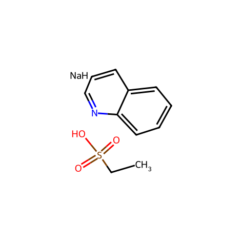 CCS(=O)(=O)O.[NaH].c1ccc2ncccc2c1